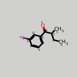 CCC(C)C(=O)c1cccc(I)c1